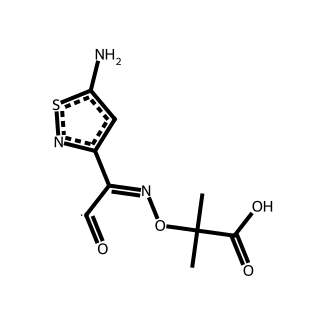 CC(C)(ON=C([C]=O)c1cc(N)sn1)C(=O)O